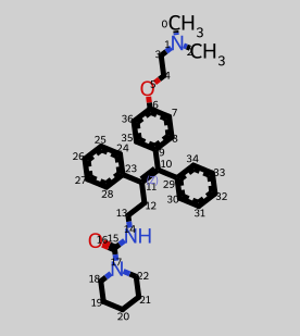 CN(C)CCOc1ccc(/C(=C(/CCNC(=O)N2CCCCC2)c2ccccc2)c2ccccc2)cc1